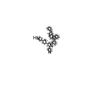 C1=CC(c2ccc(-c3cc(-c4ccncc4)nc(-c4cccc(-n5c6ccccc6c6c7sc(-c8ccccc8)cc7ccc65)c4)c3)cc2)=CCN1